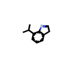 CC(C)c1cccc2c1N=CC2